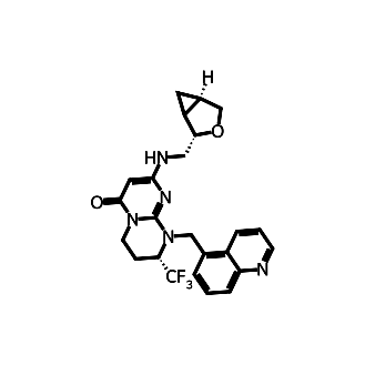 O=c1cc(NC[C@H]2OC[C@@H]3CC32)nc2n1CC[C@@H](C(F)(F)F)N2Cc1cccc2ncccc12